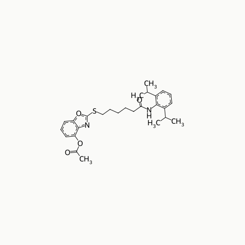 CC(=O)Oc1cccc2oc(SCCCCCC(=O)Nc3c(C(C)C)cccc3C(C)C)nc12